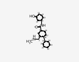 CNCc1cc(C(=O)Nc2cccc(O)c2)ccc1-c1ccccc1